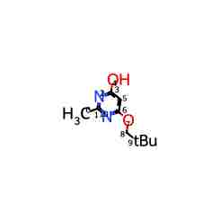 Cc1nc(O)cc(OCC(C)(C)C)n1